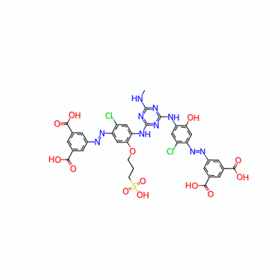 CNc1nc(Nc2cc(Cl)c(N=Nc3cc(C(=O)O)cc(C(=O)O)c3)cc2O)nc(Nc2cc(Cl)c(N=Nc3cc(C(=O)O)cc(C(=O)O)c3)cc2OCCCS(=O)(=O)O)n1